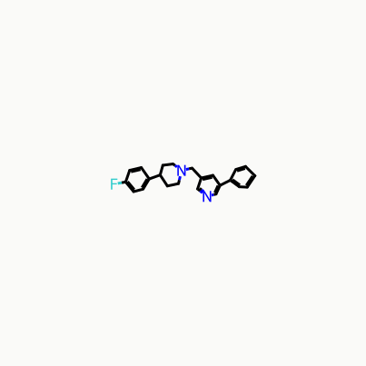 Fc1ccc(C2CCN(Cc3cncc(-c4ccccc4)c3)CC2)cc1